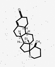 C=C1CCCOC12CC[C@H]1[C@@H]3CCC4=CC(=O)CC[C@@H]4[C@H]3CC[C@@]12CC